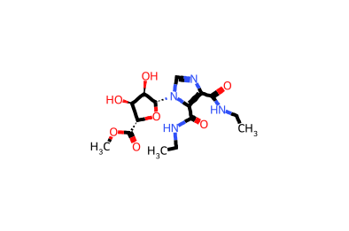 CCNC(=O)c1ncn([C@@H]2O[C@H](C(=O)OC)[C@@H](O)[C@H]2O)c1C(=O)NCC